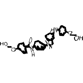 O=C(Nc1ccc(-n2ncc3cc(Nc4ccc(OCCO)cc4)ccc32)cc1)c1ccc(OCCO)cc1